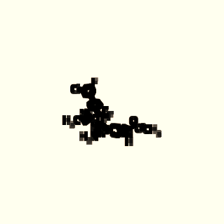 CCOC(=O)[C@@H]1CC2(CCN(c3cc(O[C@H](c4ccc(-c5cc(F)cc(Cl)c5)cc4-n4ccc(C)n4)C(F)(F)F)nc(N)n3)CC2)CN1